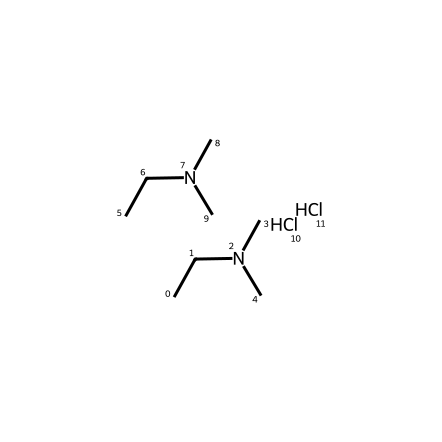 CCN(C)C.CCN(C)C.Cl.Cl